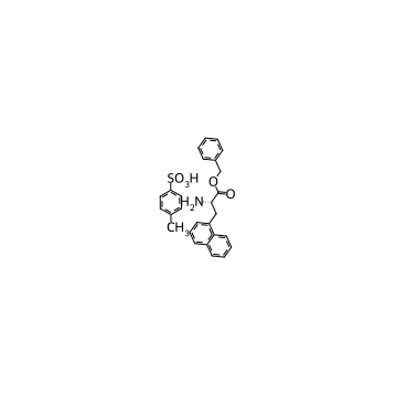 Cc1ccc(S(=O)(=O)O)cc1.N[C@@H](Cc1cccc2ccccc12)C(=O)OCc1ccccc1